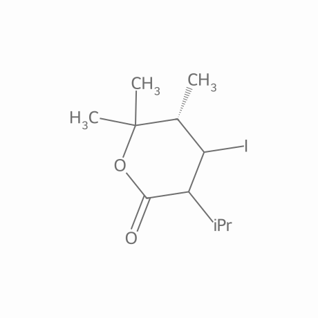 CC(C)C1C(=O)OC(C)(C)[C@H](C)C1I